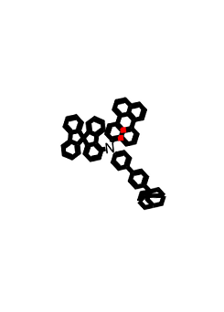 c1ccc(-c2cccc3cccc(-c4ccc(N(c5ccc(-c6ccc(C78CC9CC(CC(C9)C7)C8)cc6)cc5)c5cccc6c5-c5ccccc5C65c6ccccc6-c6ccccc65)cc4)c23)cc1